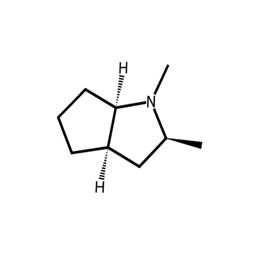 C[C@H]1C[C@H]2CCC[C@H]2N1C